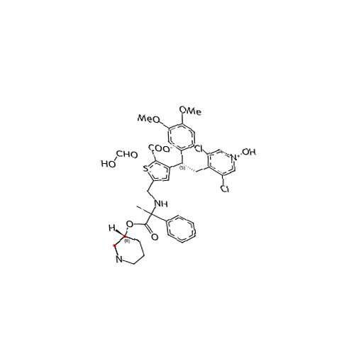 COc1ccc([C@H](Cc2c(Cl)c[n+](O)cc2Cl)c2cc(CNC(C)(C(=O)O[C@H]3CN4CCC3CC4)c3ccccc3)sc2C(=O)[O-])cc1OC.O=CO